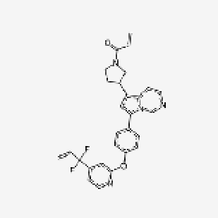 C=CC(=O)N1CCC(c2cc(-c3ccc(Oc4cc(C(F)(F)C=C)ccn4)cc3)n3cnccc23)C1